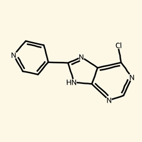 Clc1ncnc2[nH]c(-c3ccncc3)nc12